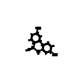 N#Cc1ccc(-c2cc(O)ccc2C(=O)S)cc1